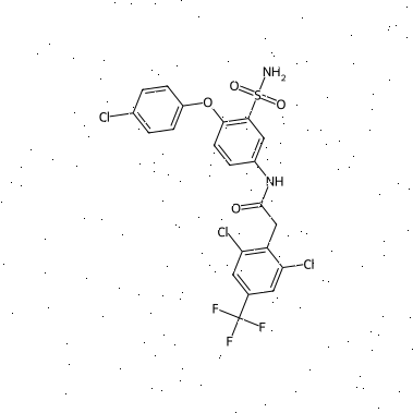 NS(=O)(=O)c1cc(NC(=O)Cc2c(Cl)cc(C(F)(F)F)cc2Cl)ccc1Oc1ccc(Cl)cc1